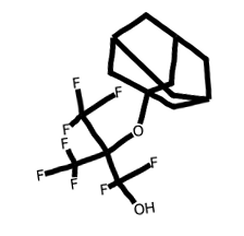 OC(F)(F)C(OC12CC3CC(CC(C3)C1)C2)(C(F)(F)F)C(F)(F)F